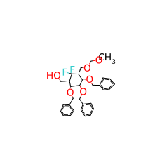 COCOC[C@H]1[C@H](OCc2ccccc2)[C@@H](OCc2ccccc2)[C@H](OCc2ccccc2)[C@@H](CO)C1(F)F